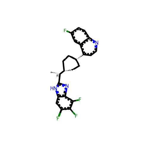 C[C@@H](c1nc2c(F)c(F)c(F)cc2[nH]1)[C@H]1CC[C@@H](c2ccnc3ccc(F)cc32)CC1